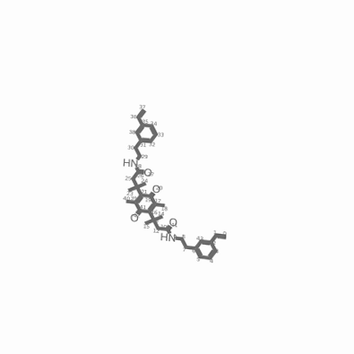 C=Cc1cccc(CCNC(=O)CC(C)(C)C2=C(C)C(=O)C(C(C)(C)CC(=O)NCCc3cccc(C=C)c3)=C(C)C2=O)c1